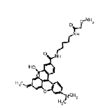 C/N=c1\ccc2c(-c3ccc(C(=O)NCCCCCNC(=O)CON)cc3C(=O)O)c3ccc(N(C)C)cc3oc-2c1